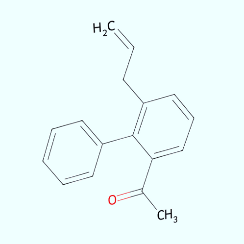 C=CCc1cccc(C(C)=O)c1-c1ccccc1